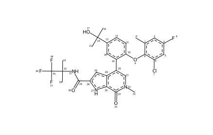 Cc1cc(F)cc(Cl)c1Oc1ccc(C(C)(C)O)cc1-c1cn(C)c(=O)c2[nH]c(C(=O)NC(C)(C)C(F)(F)F)cc12